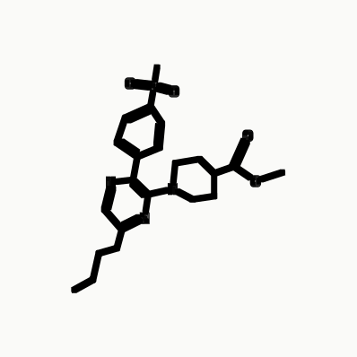 CCCCc1cnc(-c2ccc(S(C)(=O)=O)cc2)c(N2CCC(C(=O)OC)CC2)n1